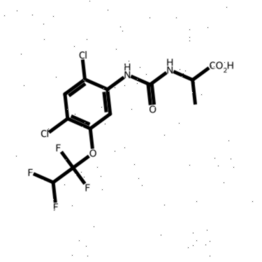 CC(NC(=O)Nc1cc(OC(F)(F)C(F)F)c(Cl)cc1Cl)C(=O)O